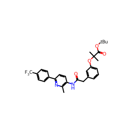 Cc1nc(-c2ccc(C(F)(F)F)cc2)ccc1NC(=O)Cc1cccc(OC(C)(C)C(=O)OC(C)(C)C)c1